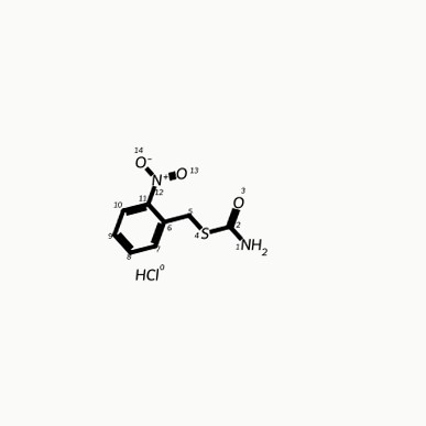 Cl.NC(=O)SCc1ccccc1[N+](=O)[O-]